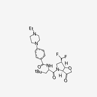 CCN1CCN(c2ccc(C(=O)NC(CC(C)(C)C)C(=O)N3C[C@@H](C(F)F)[C@H]4OCC(=O)[C@H]43)cc2)CC1